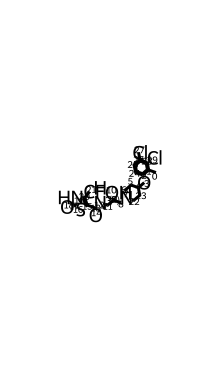 Cc1c(OC2CCN(C[C@H](O)CNC(=O)c3sc(=O)[nH]c3C(F)(F)F)CC2)ccc(Cl)c1Cl